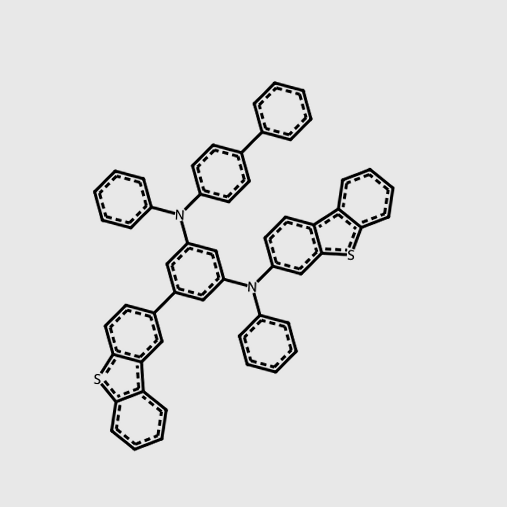 c1ccc(-c2ccc(N(c3ccccc3)c3cc(-c4ccc5sc6ccccc6c5c4)cc(N(c4ccccc4)c4ccc5c(c4)sc4ccccc45)c3)cc2)cc1